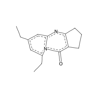 CCc1cc(CC)n2c(=O)c3c(nc2c1)CCC3